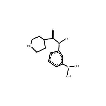 CCN(C(=O)C1CCNCC1)c1cccc(B(O)O)c1